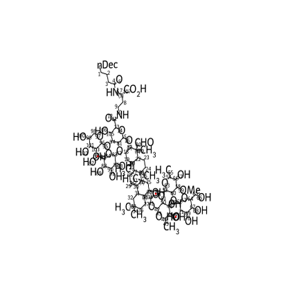 CCCCCCCCCCCCCC(=O)N[C@@H](CCNC(=O)C1OC(O[C@H]2CC[C@@]3(C)C(CC[C@]4(C)C3CC=C3C5CC(C)(C)CC[C@]5(C(=O)OC5OC(C)C(O)C(O)C5OC5OC(C)C(O)C(OC)C5OC5OC(CO)C(O)C(O)C5O)[C@H](O)C[C@]34C)[C@]2(C)C=O)C(OC2OC(CO)C(O)C(O)C2O)C(OC2OCC(O)C(O)C2O)C1O)C(=O)O